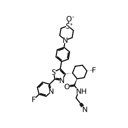 N#CCNC(=O)[C@@H]1C[C@@H](F)CC[C@H]1c1nc(-c2ccc(F)cn2)sc1-c1ccc(N2CC[S+]([O-])CC2)cc1